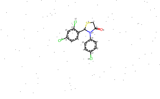 O=C1CSC(c2ccc(Cl)cc2Cl)N1c1ccc(Cl)cc1